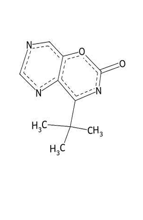 CC(C)(C)c1nc(=O)oc2cncnc12